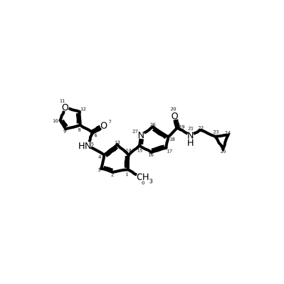 Cc1ccc(NC(=O)c2ccoc2)cc1-c1ccc(C(=O)NCC2CC2)cn1